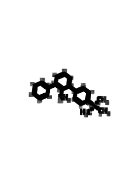 C[Si](C)(C)c1ccc(-c2cccc(-c3ccccc3)c2N)cc1